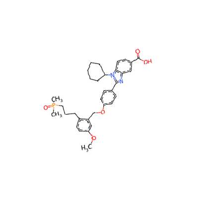 COc1ccc(CCCP(C)(C)=O)c(COc2ccc(-c3nc4cc(C(=O)O)ccc4n3C3CCCCC3)cc2)c1